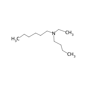 CCCCCCN(CC)CCCC